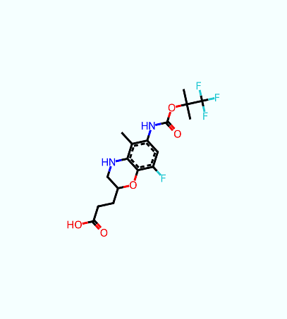 Cc1c(NC(=O)OC(C)(C)C(F)(F)F)cc(F)c2c1NCC(CCC(=O)O)O2